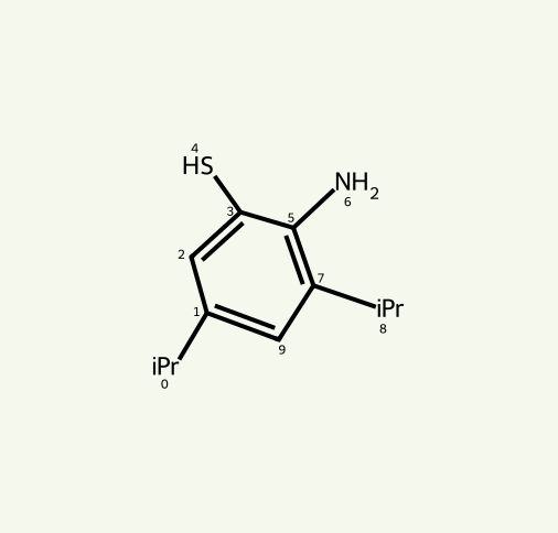 CC(C)c1cc(S)c(N)c(C(C)C)c1